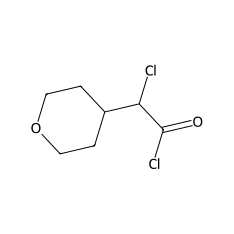 O=C(Cl)C(Cl)C1CCOCC1